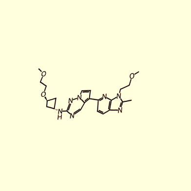 COCCO[C@H]1C[C@H](Nc2ncc3c(-c4ccc5nc(C)n(CCOC)c5n4)ccn3n2)C1